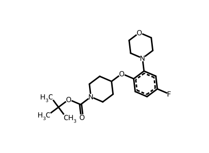 CC(C)(C)OC(=O)N1CCC(Oc2ccc(F)cc2N2CCOCC2)CC1